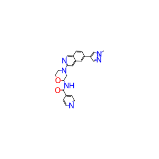 Cn1cc(-c2ccc3cnc(N4CCOC(NC(=O)c5ccncc5)C4)cc3c2)cn1